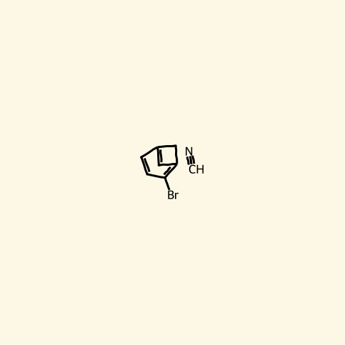 Brc1ccc2cc1C2.C#N